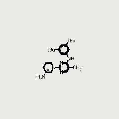 [CH2]c1cnc(N2CCC[C@@H](N)C2)nc1Nc1cc(C(C)(C)C)cc(C(C)(C)C)c1